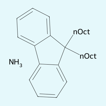 CCCCCCCCC1(CCCCCCCC)c2ccccc2-c2ccccc21.N